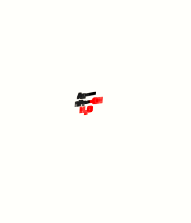 CC(C)=O.CCCO.O